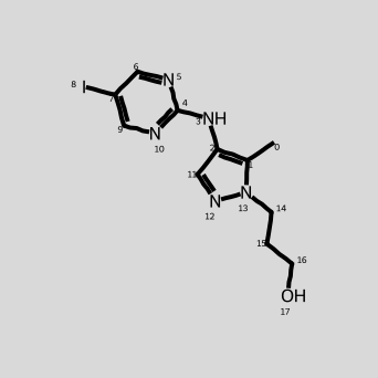 Cc1c(Nc2ncc(I)cn2)cnn1CCCO